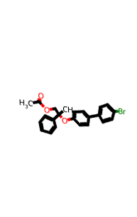 CC(=O)OCC(C)(Oc1ccc(-c2ccc(Br)cc2)cc1)c1ccccc1